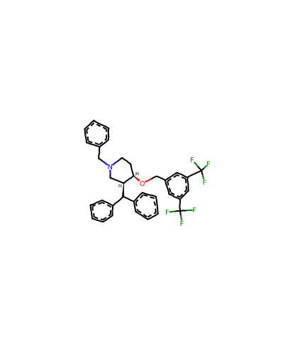 FC(F)(F)c1cc(CO[C@@H]2CCN(Cc3ccccc3)C[C@@H]2C(c2ccccc2)c2ccccc2)cc(C(F)(F)F)c1